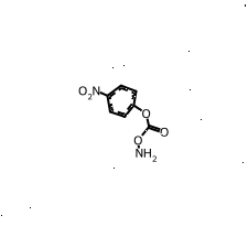 NOC(=O)Oc1ccc([N+](=O)[O-])cc1